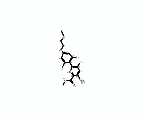 COCCOc1cc(F)c(-c2nc(C(=O)OC)c(N)cc2F)c(F)c1